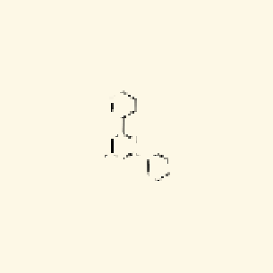 Cc1cc(-c2cccnc2)nc(-c2cccnc2)c1